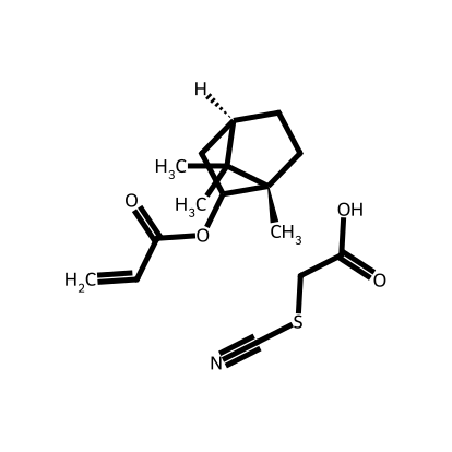 C=CC(=O)OC1C[C@H]2CC[C@@]1(C)C2(C)C.N#CSCC(=O)O